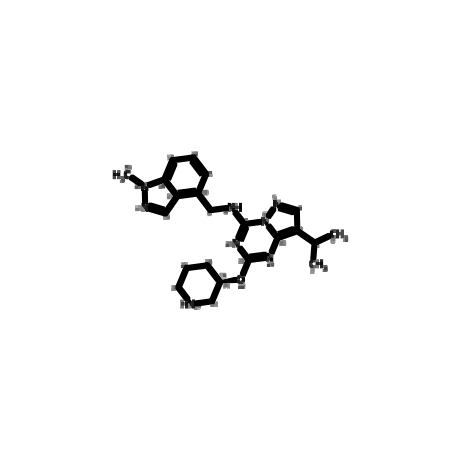 CC(C)c1cnn2c(NCc3cccc4c3cnn4C)nc(O[C@@H]3CCCNC3)nc12